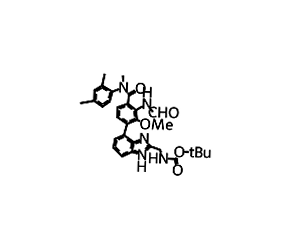 COc1c(-c2cccc3[nH]c(CNC(=O)OC(C)(C)C)nc23)ccc(C(=O)N(C)c2ccc(C)cc2C)c1NC=O